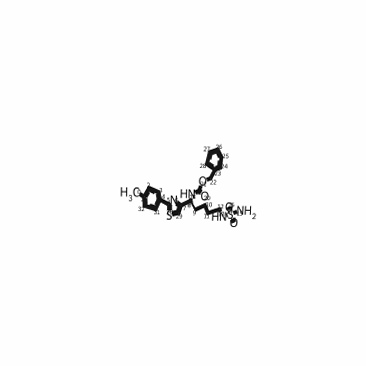 Cc1ccc(-c2nc([C@H](CCCCNS(N)(=O)=O)NC(=O)OCc3ccccc3)cs2)cc1